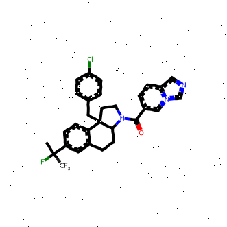 CC(F)(c1ccc2c(c1)CCC1N(C(=O)c3ccc4cncn4c3)CCC21Cc1ccc(Cl)cc1)C(F)(F)F